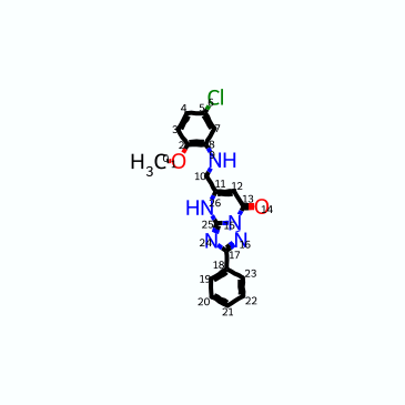 COc1ccc(Cl)cc1NCc1cc(=O)n2nc(-c3ccccc3)nc2[nH]1